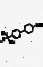 CCC(C)C(N)(c1ccc(C2CCC(NC)CC2)cc1)C(C)CC